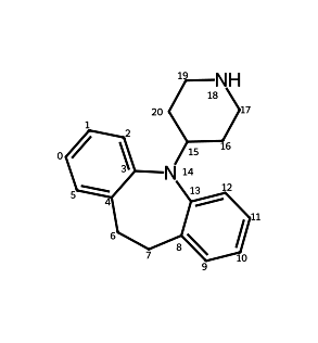 c1ccc2c(c1)CCc1ccccc1N2C1CCNCC1